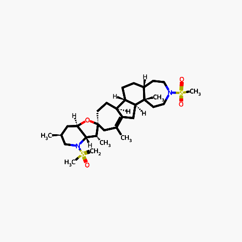 C=S(C)(=O)N1C[C@@H](C)C[C@H]2O[C@]3(CC[C@@H]4C(=C(C)C3)C[C@H]3[C@H]4CC[C@@H]4CCN(S(C)(=O)=O)CC[C@@]43C)[C@H](C)[C@@H]21